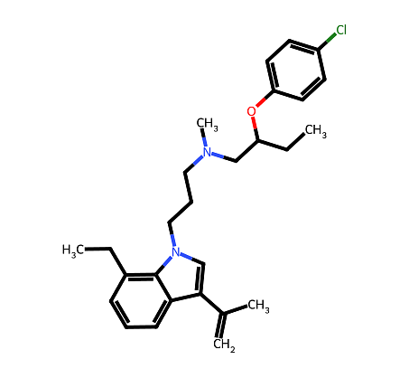 C=C(C)c1cn(CCCN(C)CC(CC)Oc2ccc(Cl)cc2)c2c(CC)cccc12